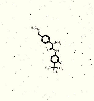 COCc1ccc([C@@H](N)C(=O)Nc2ccc(C(C)(C)C)c(F)c2)cc1